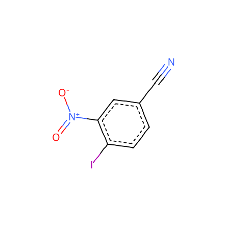 N#Cc1ccc(I)c([N+](=O)[O-])c1